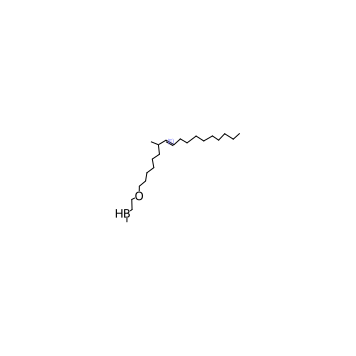 CBCCOCCCCCCC(C)/C=C/CCCCCCCCC